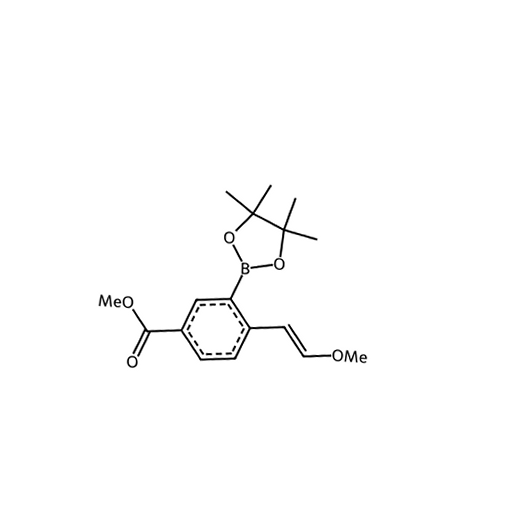 CO/C=C/c1ccc(C(=O)OC)cc1B1OC(C)(C)C(C)(C)O1